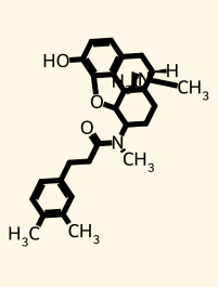 Cc1ccc(CCC(=O)N(C)C2CC[C@@]3(C)[C@H]4Cc5ccc(O)c6c5[C@@]3(CCN4C)C2O6)cc1C